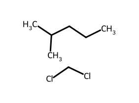 CCCC(C)C.ClCCl